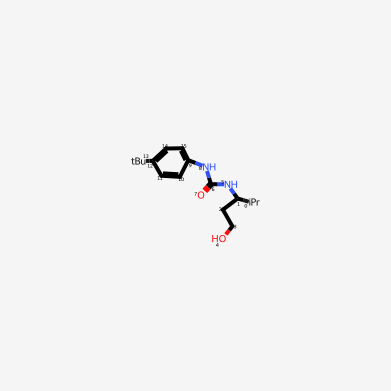 CC(C)C(CCO)NC(=O)Nc1ccc(C(C)(C)C)cc1